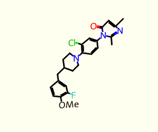 COc1ccc(CC2CCN(c3ccc(-n4c(C)nc(C)cc4=O)cc3Cl)CC2)cc1F